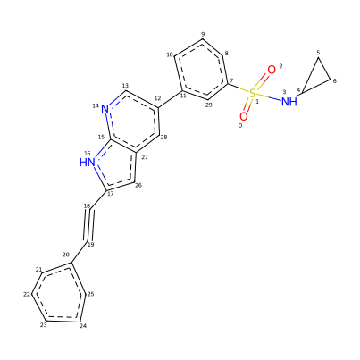 O=S(=O)(NC1CC1)c1cccc(-c2cnc3[nH]c(C#Cc4ccccc4)cc3c2)c1